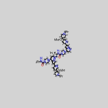 COC1(c2ccc(-c3cc4c(N5CCN(C(=O)NC(C)C[n+]6ccc(N7CCN(C(=O)NC(C)C)CC7)c7cc(-c8ccc([C@@]9(OC)CCCN(C(C)C)C9)cn8)cn76)CC5)ccnn4c3)nc2)CCN(C(C)C)CC1